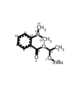 CCCCOC(C)OC(=O)c1ccccc1N(C)C